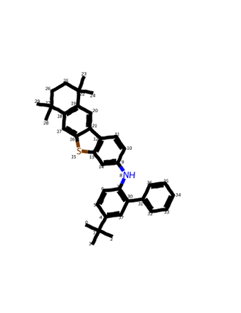 CC(C)(C)c1ccc(Nc2ccc3c(c2)sc2cc4c(cc23)C(C)(C)CCC4(C)C)c(-c2ccccc2)c1